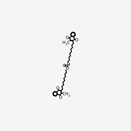 CC1=C(CCCCCCCCCCO[N+](=O)OCCCCCCCCCCC2=C(C)C(=O)c3ccccc3C2=O)C(=O)c2ccccc2C1=O